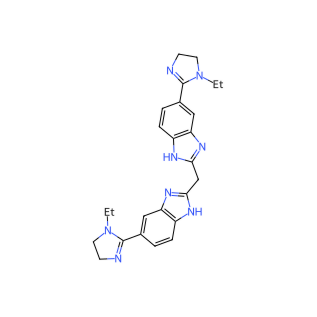 CCN1CCN=C1c1ccc2[nH]c(Cc3nc4cc(C5=NCCN5CC)ccc4[nH]3)nc2c1